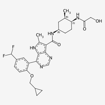 Cc1[nH]c2c(-c3cc(C(F)F)ccc3OCC3CC3)ncnc2c1C(=O)N[C@@H]1CC[C@H](NC(=O)CO)[C@H](C)C1